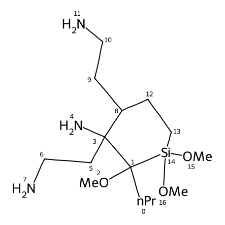 CCCC1(OC)C(N)(CCN)C(CCN)CC[Si]1(OC)OC